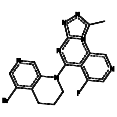 Cc1nnc2nc(N3CCCc4c(Br)cncc43)c3c(F)cncc3n12